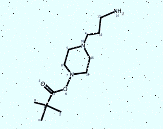 CC(C)(C)C(=O)ON1CCN(CCCN)CC1